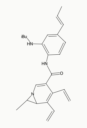 C=CC1=C(C=C)C2C(C)N2C=C1C(=O)Nc1ccc(/C=C/C)cc1NC(C)CC